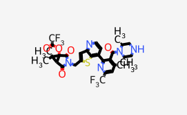 Cc1cc(C(F)(F)F)nc(-c2ccnc3cc(CN4C(=O)C5C(C)(C)C5(OC(=O)C(F)(F)F)C4=O)sc23)c1C(=O)N1[C@@H](C)CNC[C@@H]1C